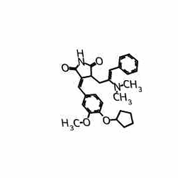 COc1cc(C=C2C(=O)NC(=O)C2CC(=Cc2ccccc2)N(C)C)ccc1OC1CCCC1